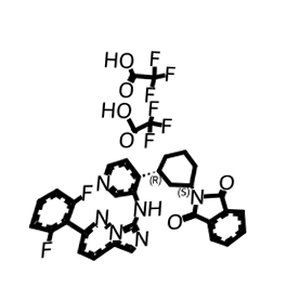 O=C(O)C(F)(F)F.O=C(O)C(F)(F)F.O=C1c2ccccc2C(=O)N1[C@H]1CCC[C@@H](c2ccncc2Nc2ncc3ccc(-c4c(F)cccc4F)nn23)C1